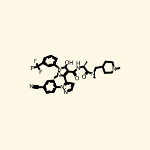 C[C@H](NC(=O)C1=C(c2ccnn2-c2ccc(C#N)cc2)N(C)N(c2cccc(C(F)(F)F)c2)C1O)C(=O)N(C)CC1CCN(C)CC1